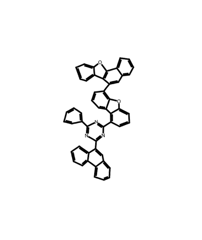 c1ccc(-c2nc(-c3cc4ccccc4c4ccccc34)nc(-c3cccc4oc5c(-c6cc7ccccc7c7oc8ccccc8c67)cccc5c34)n2)cc1